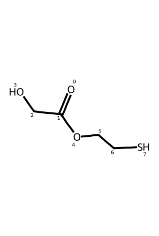 O=C(CO)OCCS